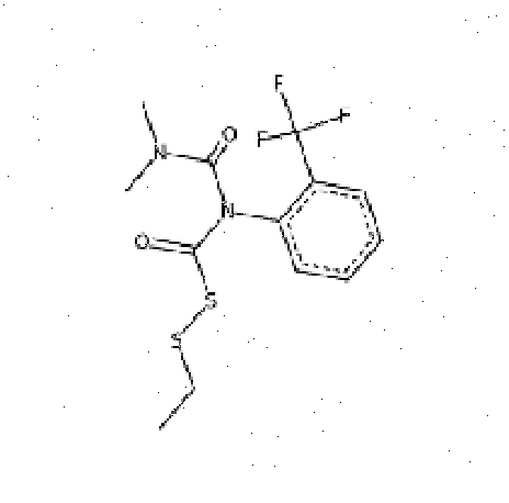 CCSSC(=O)N(C(=O)N(C)C)c1ccccc1C(F)(F)F